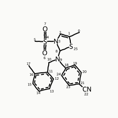 CC1=CN(S(C)(=O)=O)C(N(Cc2ccccc2C)c2ccc(C#N)cc2)S1